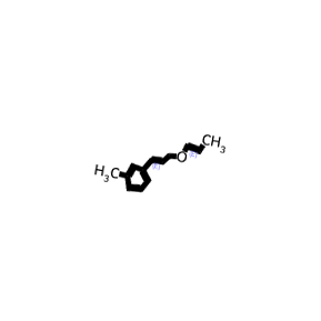 C/C=C/OC/C=C/c1cccc(C)c1